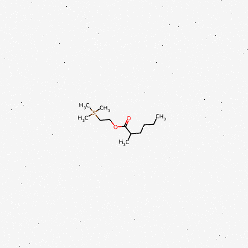 CCCCC(C)C(=O)OCCS(C)(C)C